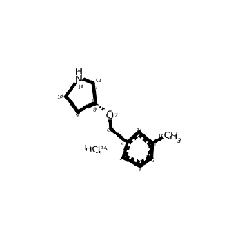 Cc1cccc(CO[C@@H]2CCNC2)c1.Cl